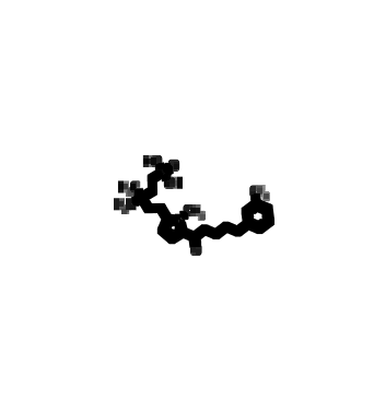 Cn1c(CCC(C)(N)CCP(=O)(O)O)ccc1C(=O)CCCCc1cccc(C(F)(F)F)c1